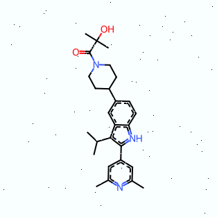 Cc1cc(-c2[nH]c3ccc(C4CCN(C(=O)C(C)(C)O)CC4)cc3c2C(C)C)cc(C)n1